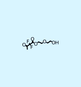 CC(=O)C(F)(F)C(=O)OCCOCCO